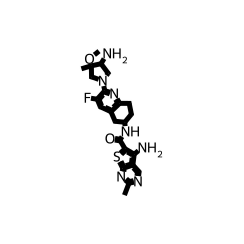 COC1(C)CN(c2nc3c(cc2F)CC(NC(=O)c2sc4nc(C)ncc4c2N)CC3)CC1N